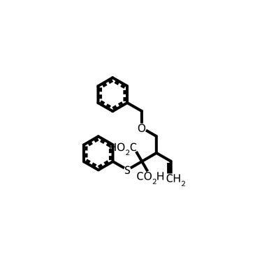 C=CC(COCc1ccccc1)C(Sc1ccccc1)(C(=O)O)C(=O)O